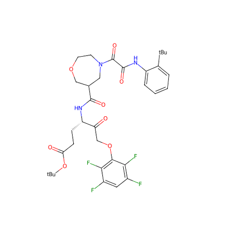 CC(C)(C)OC(=O)CC[C@H](NC(=O)C1COCCN(C(=O)C(=O)Nc2ccccc2C(C)(C)C)C1)C(=O)COc1c(F)c(F)cc(F)c1F